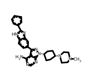 CN1CCN([C@H]2CC[C@@H](n3nc(-c4ccc5[nH]c(-c6ccccc6)nc5c4)c4c(N)ncnc43)CC2)CC1